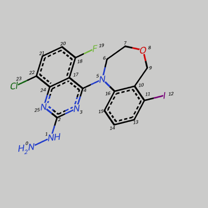 NNc1nc(N2CCOCc3c(I)cccc32)c2c(F)ccc(Cl)c2n1